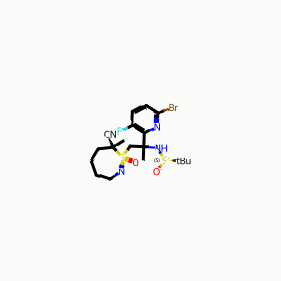 CC(CS1(=O)=NCCCCC1(C)C#N)(N[S@+]([O-])C(C)(C)C)c1nc(Br)ccc1F